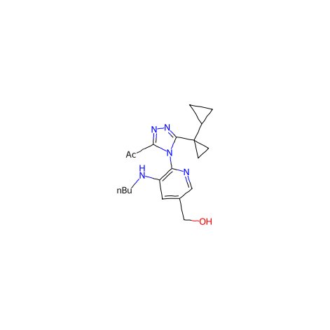 CCCCNc1cc(CO)cnc1-n1c(C(C)=O)nnc1C1(C2CC2)CC1